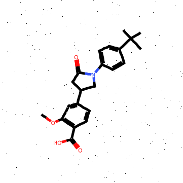 COc1cc(C2CC(=O)N(c3ccc(C(C)(C)C)cc3)C2)ccc1C(=O)O